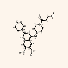 COCCC(=O)N1CCC(Nc2nc(N3CCOCC3)nc3cc(OC)c(OC)cc23)CC1